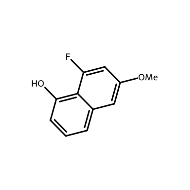 COc1cc(F)c2c(O)cccc2c1